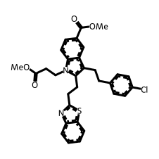 COC(=O)CCn1c(CCc2nc3ccccc3s2)c(CCc2ccc(Cl)cc2)c2cc(C(=O)OC)ccc21